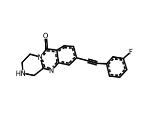 O=c1c2ccc(C#Cc3cccc(F)c3)cc2nc2n1CCNC2